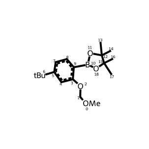 COCOc1cc(C(C)(C)C)ccc1B1OC(C)(C)C(C)(C)O1